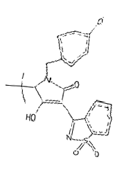 CC(C)(C)C1C(O)=C(C2=NS(=O)(=O)c3ccccc32)C(=O)N1Cc1ccc(Cl)cc1